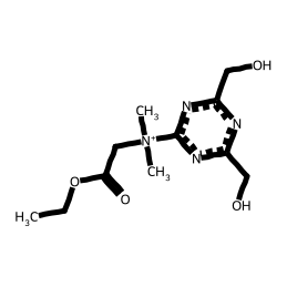 CCOC(=O)C[N+](C)(C)c1nc(CO)nc(CO)n1